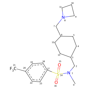 CN(CC1CCC(CN2CCC2)CC1)S(=O)(=O)c1ccc(C(F)(F)F)cc1